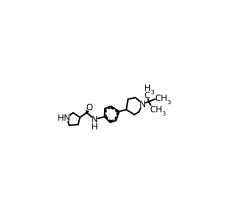 CC(C)(C)N1CCC(c2ccc(NC(=O)C3CCNC3)cc2)CC1